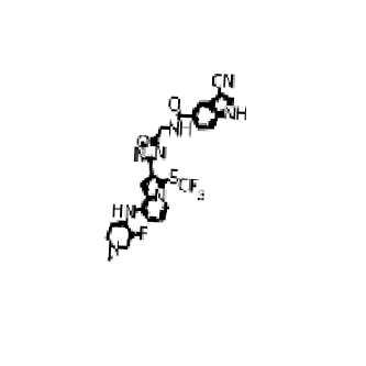 CN1CC[C@@H](Nc2cccn3c(SC(F)(F)F)c(-c4noc(CNC(=O)c5ccc6[nH]cc(C#N)c6c5)n4)cc23)[C@@H](F)C1